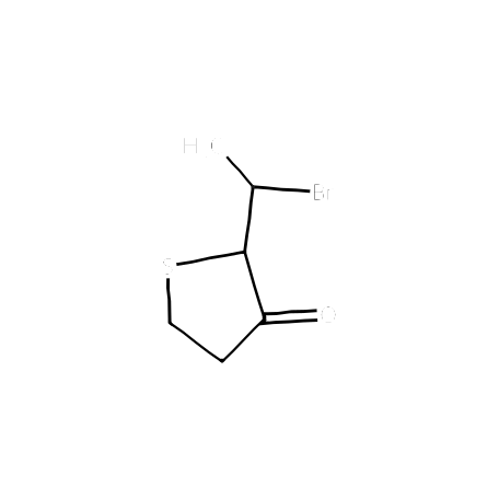 CC(Br)C1SCCC1=O